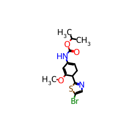 COC1=CC(NC(=O)OC(C)C)=CCC1c1ncc(Br)s1